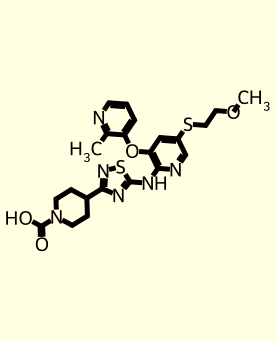 COCCSc1cnc(Nc2nc(C3CCN(C(=O)O)CC3)ns2)c(Oc2cccnc2C)c1